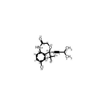 CC(C)C#C[C@]1(C(F)(F)F)OCC(=O)Nc2ccc(Cl)cc21